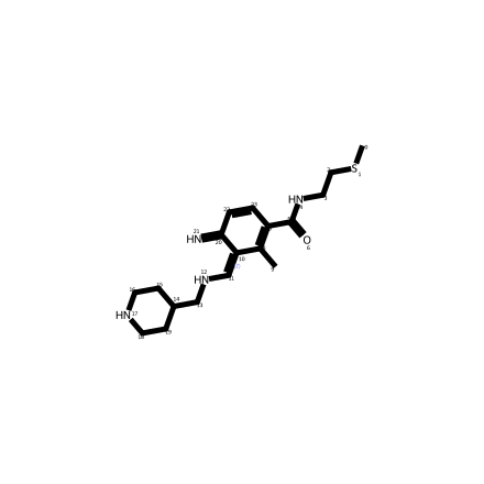 CSCCNC(=O)C1=C(C)/C(=C/NCC2CCNCC2)C(=N)C=C1